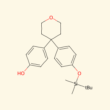 CC(C)(C)[Si](C)(C)Oc1ccc(C2(c3ccc(O)cc3)CCOCC2)cc1